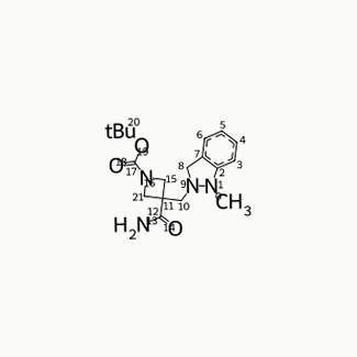 CN1c2ccccc2CN1CC1(C(N)=O)CN(C(=O)OC(C)(C)C)C1